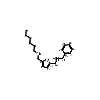 CCCCCCOCc1ccc(CNCc2ccccc2)o1